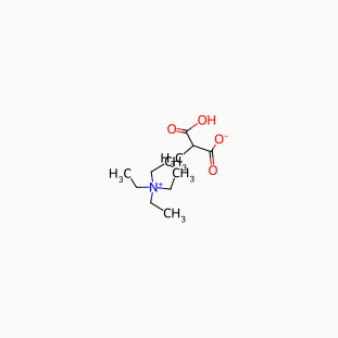 CC(C(=O)[O-])C(=O)O.CC[N+](CC)(CC)CC